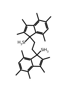 CC1=C(C)C([SiH3])(CCC2([SiH3])C(C)=C(C)c3c(C)c(C)cc(C)c32)c2c(C)cc(C)c(C)c21